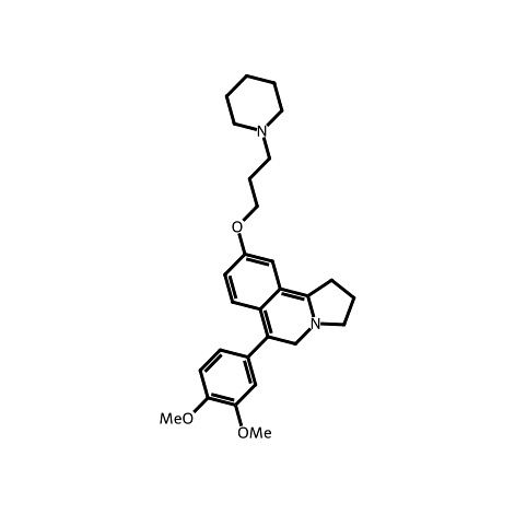 COc1ccc(C2=c3ccc(OCCCN4CCCCC4)cc3=C3CCCN3C2)cc1OC